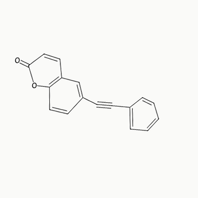 O=c1ccc2cc(C#Cc3ccccc3)ccc2o1